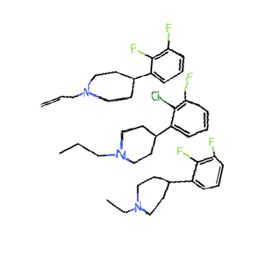 C=CCN1CCC(c2cccc(F)c2F)CC1.CCCN1CCC(c2cccc(F)c2Cl)CC1.CCN1CCC(c2cccc(F)c2F)CC1